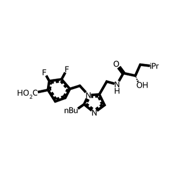 CCCCc1ncc(CNC(=O)[C@@H](O)CC(C)C)n1Cc1ccc(C(=O)O)c(F)c1F